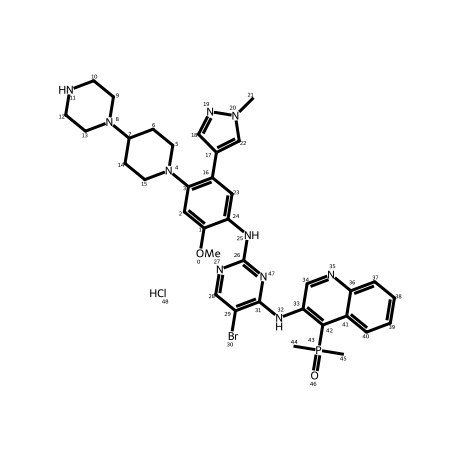 COc1cc(N2CCC(N3CCNCC3)CC2)c(-c2cnn(C)c2)cc1Nc1ncc(Br)c(Nc2cnc3ccccc3c2P(C)(C)=O)n1.Cl